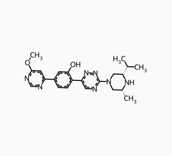 COc1cc(-c2ccc(-c3cnc(N4C[C@@H](C)N[C@@H](C(C)C)C4)nn3)c(O)c2)ncn1